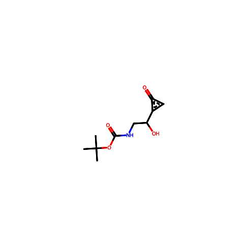 CC(C)(C)OC(=O)NCC(O)c1cc1=O